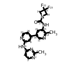 Cc1nccc(Nc2cc(-c3cnc(C)c(NC(=O)N4CC(F)(F)C4)c3)ccn2)n1